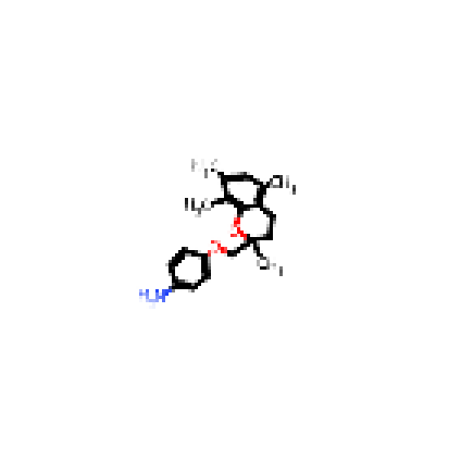 Cc1cc(C)c2c(c1C)OC(C)(COc1ccc(N)cc1)CC2